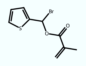 C=C(C)C(=O)OC(Br)c1cccs1